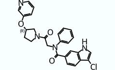 O=C(CN(C(=O)c1ccc2c(Cl)c[nH]c2c1)c1ccccc1)N1CC[C@@H](Oc2cccnc2)C1